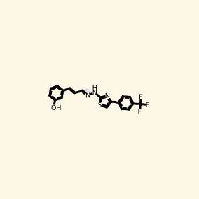 Oc1cccc(C=C/C=N/Nc2nc(-c3ccc(C(F)(F)F)cc3)cs2)c1